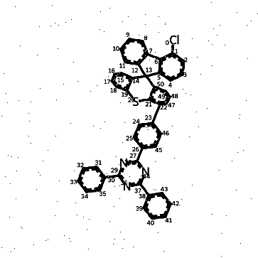 Clc1cccc2c1-c1ccccc1C21c2ccccc2Sc2c(-c3ccc(-c4nc(-c5ccccc5)nc(-c5ccccc5)n4)cc3)cccc21